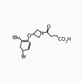 CC(C)(C)C1=C(OC2CN(C(=O)CCC(=O)O)C2)C=CC(Br)C1